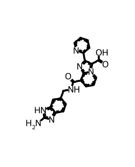 Nc1nc2ccc(CNC(=O)c3cccn4c(C(=O)O)c(-c5ccccn5)nc34)cc2[nH]1